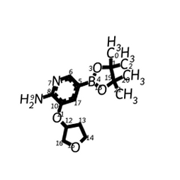 CC1(C)OB(c2cnc(N)c(OC3CCOC3)c2)OC1(C)C